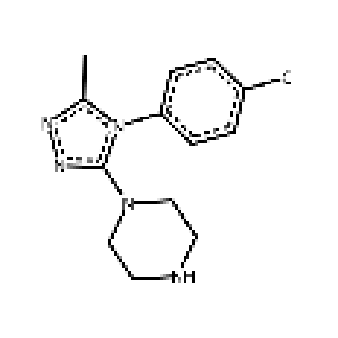 Cc1nnc(N2CCNCC2)n1-c1ccc(Cl)cc1